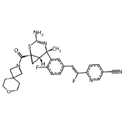 C[C@]1(c2cc(/C=C(\F)c3ccc(C#N)cn3)ccc2F)N=C(N)S[C@@]2(C(=O)N3CC4(CCOCC4)C3)C[C@H]21